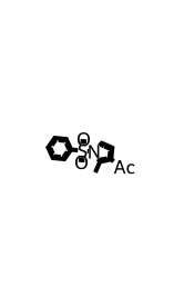 CC(=O)c1ccn(S(=O)(=O)c2ccccc2)c1C